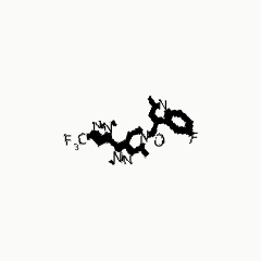 Cc1cc(C(=O)N2CCc3c(nn(C)c3-c3cc(C(F)(F)F)nn3C)C2C)c2cc(F)ccc2n1